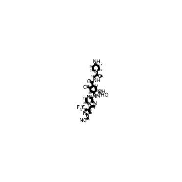 N#CCn1cc(-c2cnc3c(Nc4ccc(C(=O)NCC(=O)N5CCC(N)CC5)c(Cl)c4)nccn23)c(C(F)(F)F)n1.O=CO